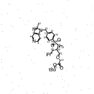 Cc1nc2cnccc2n1Cc1ccc(S(=O)(=O)N(C)C(COCC(=O)OC(C)(C)C)CC(C)C)cc1